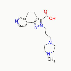 CN1CCN(CCCn2nc3c(c2C(=O)O)CCc2cnccc2-3)CC1